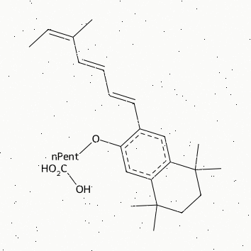 C\C=C(C)/C=C/C=C/c1cc2c(cc1OCCCCC)C(C)(C)CCC2(C)C.O=C(O)O